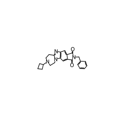 O=C1c2cc3nc4n(c3cc2C(=O)N1Cc1ccccc1)CCN(C1CCC1)CC4